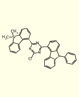 C[Si]1(C)c2ccccc2-c2c(-c3nc(Cl)nc(-c4cccc5c4c4ccccc4n5-c4ccccc4)n3)cccc21